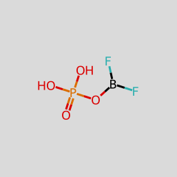 O=P(O)(O)OB(F)F